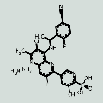 Cc1cc(-c2nc3c(NC(C)c4cc(C#N)ccc4F)c(Cl)c(C)nc3cc2F)cnc1P(=O)(O)O.N.N